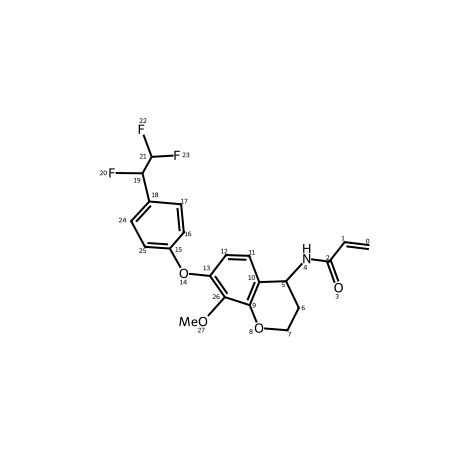 C=CC(=O)NC1CCOc2c1ccc(Oc1ccc(C(F)C(F)F)cc1)c2OC